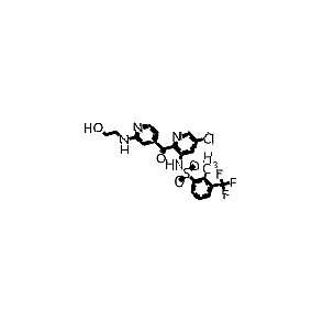 Cc1c(C(F)(F)F)cccc1S(=O)(=O)Nc1cc(Cl)cnc1C(=O)c1ccnc(NCCO)c1